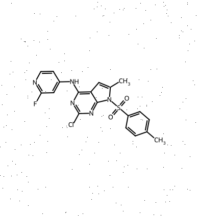 Cc1ccc(S(=O)(=O)n2c(C)cc3c(Nc4ccnc(F)c4)nc(Cl)nc32)cc1